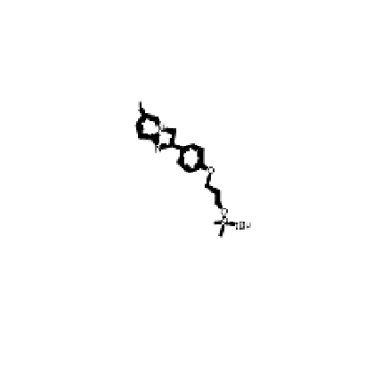 CC(C)(C)[Si](C)(C)OCCCOc1ccc(-c2cn3cc(I)ccc3n2)cc1